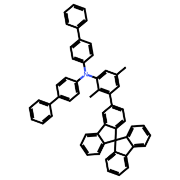 Cc1cc(-c2ccc3c(c2)-c2ccccc2C32c3ccccc3-c3ccccc32)c(C)c(N(c2ccc(-c3ccccc3)cc2)c2ccc(-c3ccccc3)cc2)c1